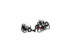 [2H]C(Oc1ccc(C2CC2c2ccc(C(=O)NS(C)(=O)=O)cc2)c(Cl)c1)c1c(-c2c(Cl)cccc2Cl)noc1C1CC1